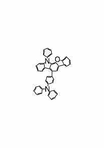 c1ccc(N(c2ccccc2)c2ccc(-c3cc4c5ccccc5oc4c4c3c3ccccc3n4-c3ccccc3)cc2)cc1